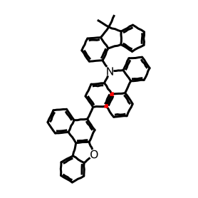 CC1(C)c2ccccc2-c2c(N(c3ccc(-c4cc5oc6ccccc6c5c5ccccc45)cc3)c3ccccc3-c3ccccc3)cccc21